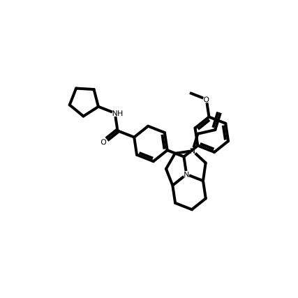 C=CCN1CCC2CCCC(C1)N2C(C1=CCC(C(=O)NC2CCCC2)C=C1)c1cccc(OC)c1